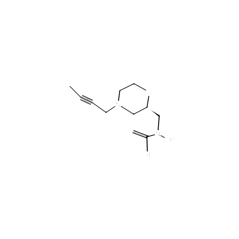 CC(C)C#CCN1CCO[C@@H](CN(C)C(=O)C(C)(C)C)C1